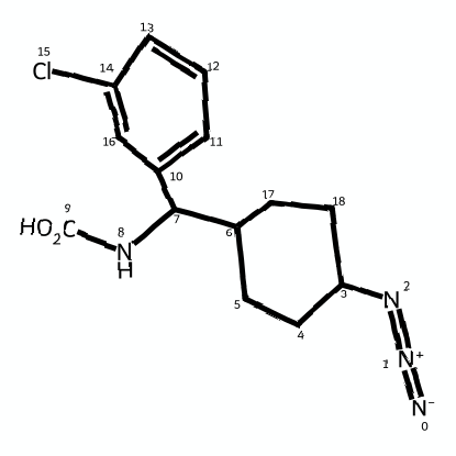 [N-]=[N+]=NC1CCC(C(NC(=O)O)c2cccc(Cl)c2)CC1